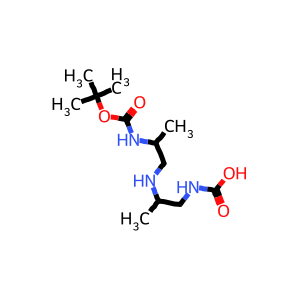 CC(CNC(=O)O)NCC(C)NC(=O)OC(C)(C)C